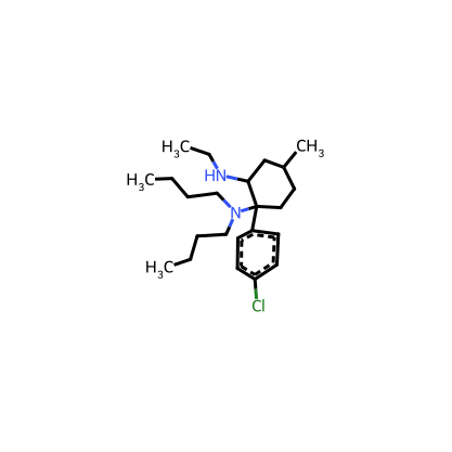 CCCCN(CCCC)C1(c2ccc(Cl)cc2)CCC(C)CC1NCC